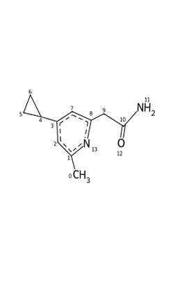 Cc1cc(C2CC2)cc(CC(N)=O)n1